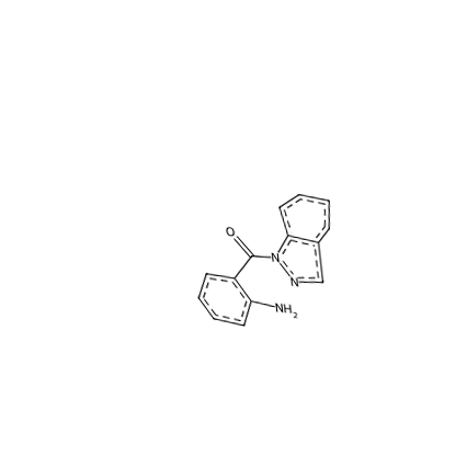 Nc1ccccc1C(=O)n1ncc2ccccc21